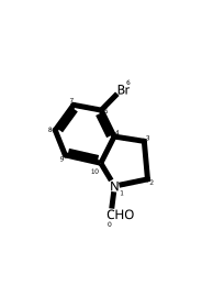 O=CN1CCc2c(Br)cccc21